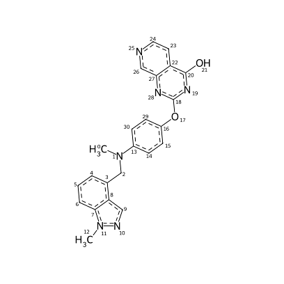 CN(Cc1cccc2c1cnn2C)c1ccc(Oc2nc(O)c3ccncc3n2)cc1